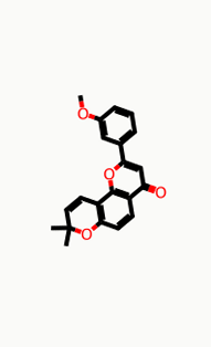 COc1cccc(-c2cc(=O)c3ccc4c(c3o2)C=CC(C)(C)O4)c1